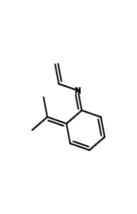 C=C/N=C1/C=CC=CC1=C(C)C